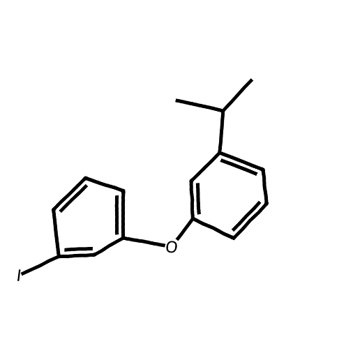 CC(C)c1cccc(Oc2cccc(I)c2)c1